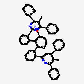 Cc1c(-c2ccccc2)cc(-c2ccccc2-c2cccc(C#N)c2-c2ccccc2-c2nc(-c3ccccc3)c(C)c(-c3ccccc3)n2)nc1-c1ccccc1